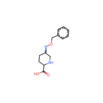 O=C(O)C1CCC(=NOCc2ccccc2)CN1